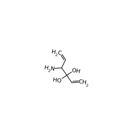 C=C[C](N)C(O)(O)C=C